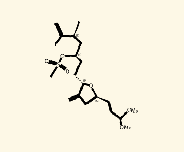 C=C1C[C@H](CCC(OC)OC)O[C@H]1CC[C@H](C[C@H](C)C(=C)I)OS(C)(=O)=O